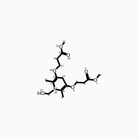 COC(=O)CCOC1=C(C)N(CO)C(C)=C(OCCC(=O)OC)C1